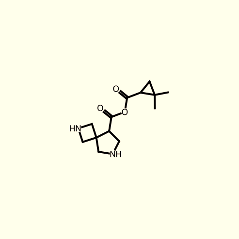 CC1(C)CC1C(=O)OC(=O)C1CNCC12CNC2